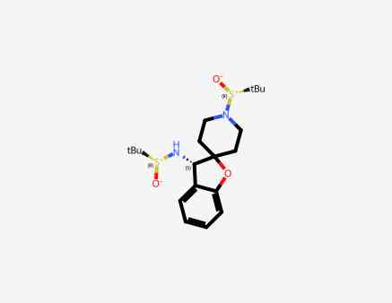 CC(C)(C)[S@+]([O-])N[C@H]1c2ccccc2OC12CCN([S@@+]([O-])C(C)(C)C)CC2